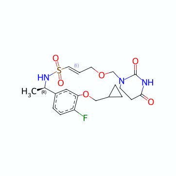 C[C@@H](NS(=O)(=O)/C=C/COCN1CCC(=O)NC1=O)c1ccc(F)c(OCC2CC2)c1